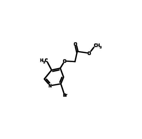 COC(=O)COc1cc(Br)ncc1C